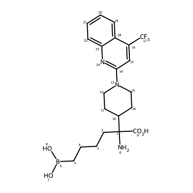 NC(CCCCB(O)O)(C(=O)O)C1CCN(c2cc(C(F)(F)F)c3ccccc3n2)CC1